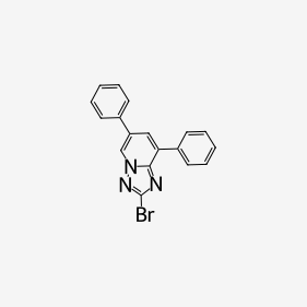 Brc1nc2c(-c3ccccc3)cc(-c3ccccc3)cn2n1